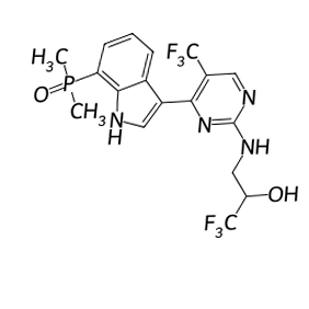 CP(C)(=O)c1cccc2c(-c3nc(NCC(O)C(F)(F)F)ncc3C(F)(F)F)c[nH]c12